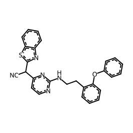 N#CC(c1ccnc(NCCc2ccccc2Oc2ccccc2)n1)c1nc2ccccc2s1